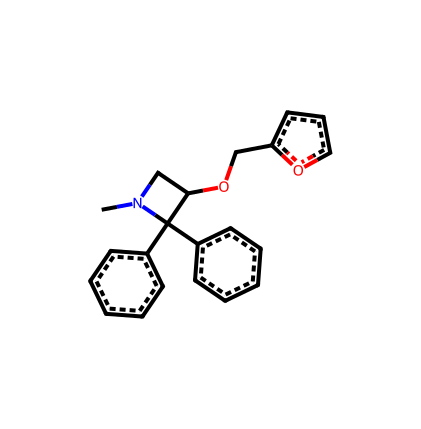 CN1CC(OCc2ccco2)C1(c1ccccc1)c1ccccc1